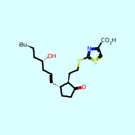 CC[C@H](C)CC[C@H](O)CC=C[C@H]1CCC(=O)[C@@H]1CCSc1nc(C(=O)O)cs1